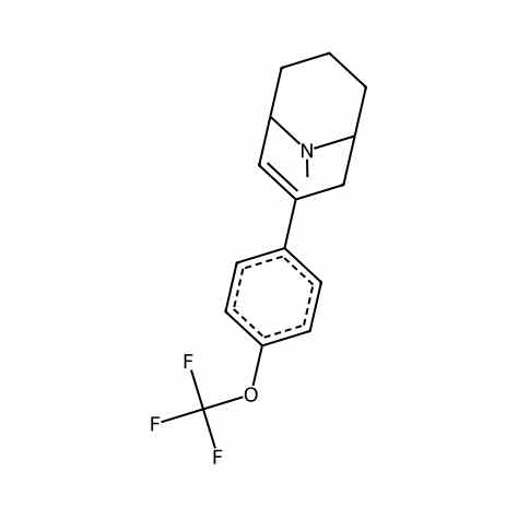 CN1C2C=C(c3ccc(OC(F)(F)F)cc3)CC1CCC2